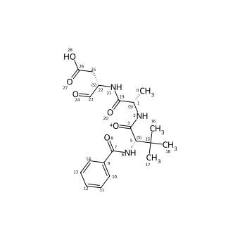 C[C@H](NC(=O)[C@@H](NC(=O)c1ccccc1)C(C)(C)C)C(=O)N[C@H](C=O)CC(=O)O